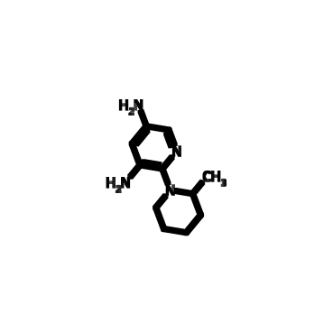 CC1CCCCN1c1ncc(N)cc1N